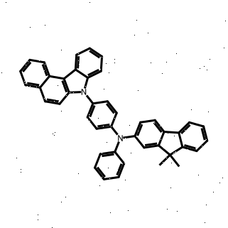 CC1(C)c2ccccc2-c2ccc(N(c3ccccc3)c3ccc(-n4c5ccccc5c5c6ccccc6ccc54)cc3)cc21